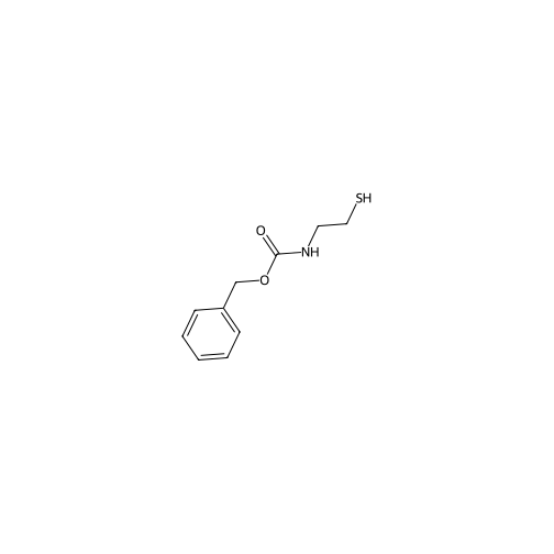 O=C(NCCS)OCc1ccccc1